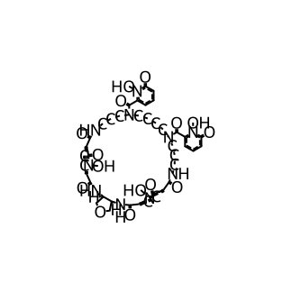 O=C1NCCCN(C(=O)c2cccc(=O)n2O)CCCCN(C(=O)c2cccc(=O)n2O)CCCNC(=O)c2ccc(n(O)c2=O)C(=O)N[C@@H]2COC[C@@H]2NC(=O)c2ccc1c(=O)n2O